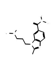 CCCCN(CCCC)C(=O)c1ccc2nc(C)n(CCCN(CCC)CCC)c2c1